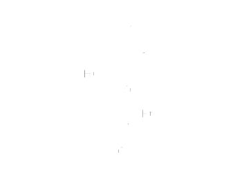 CCC1(COC(O)C2CC3CCC2C3)COC1